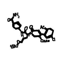 COc1cn([C@@H](CCCOC(C)(C)C)C(=O)Nc2ccc(C(N)=O)cc2)c(=O)cc1-c1cc(Cl)ccc1C(C)=O